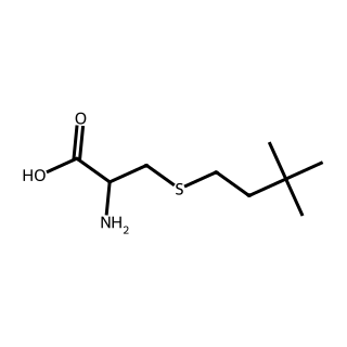 CC(C)(C)CCSCC(N)C(=O)O